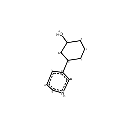 OC1CCCC(c2cccnc2)C1